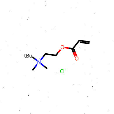 C=CC(=O)OCC[N+](C)(C)C(C)(C)C.[Cl-]